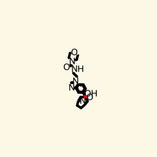 O=C(NCCn1cnc2cc(C(=O)N3C4CCC3CC(O)C4)ccc21)N1CCOCC1